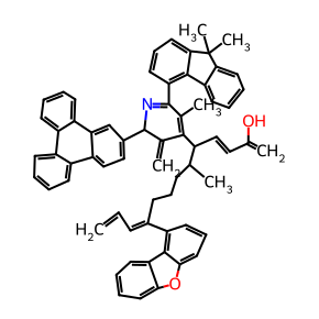 C=C/C=C(\CCCC(C)C(C=CC(=C)O)C1=C(C)C(c2cccc3c2-c2ccccc2C3(C)C)=NC(c2ccc3c4ccccc4c4ccccc4c3c2)C1=C)c1cccc2oc3ccccc3c12